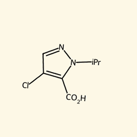 CC(C)n1ncc(Cl)c1C(=O)O